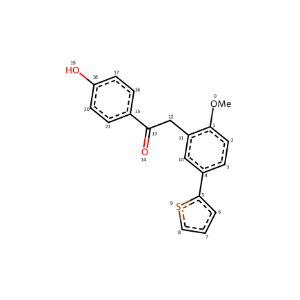 COc1ccc(-c2cccs2)cc1CC(=O)c1ccc(O)cc1